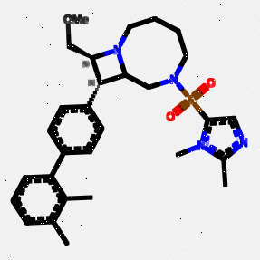 COC[C@@H]1[C@@H](c2ccc(-c3cccc(C)c3C)cc2)C2CN(S(=O)(=O)c3cnc(C)n3C)CCCCN21